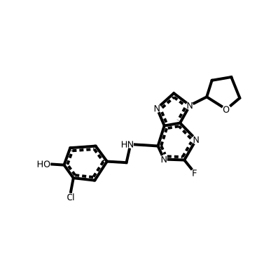 Oc1ccc(CNc2nc(F)nc3c2ncn3C2CCCO2)cc1Cl